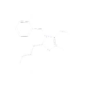 CCCCc1nc(Cl)c(CCl)n1Cc1ccccc1Cl.Cl